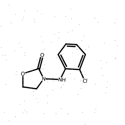 O=C1OCCN1Nc1ccccc1Cl